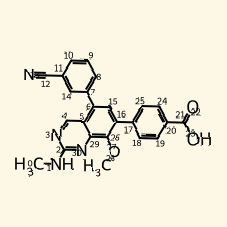 CNc1ncc2c(-c3cccc(C#N)c3)cc(-c3ccc(C(=O)O)cc3)c(OC)c2n1